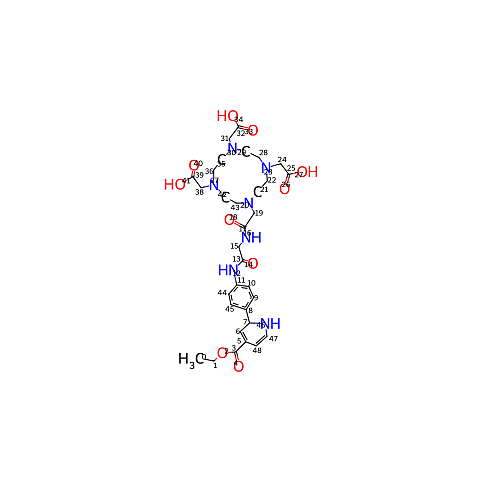 CCOC(=O)C1=CC(c2ccc(NC(=O)CNC(=O)CN3CCN(CC(=O)O)CCN(CC(=O)O)CCN(CC(=O)O)CC3)cc2)NC=C1